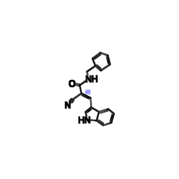 N#C/C(=C\c1c[nH]c2ccccc12)C(=O)NCc1ccccc1